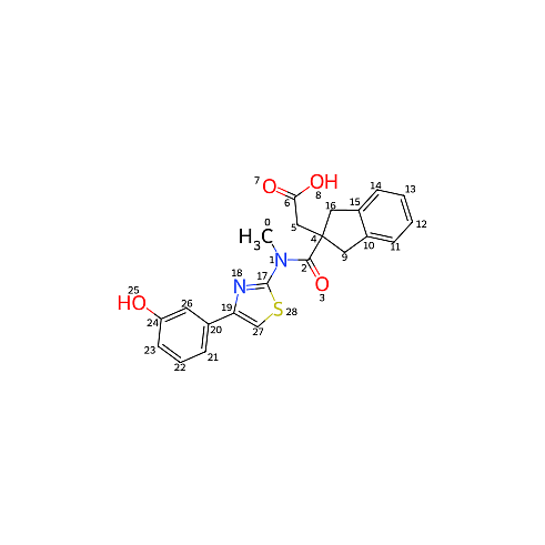 CN(C(=O)C1(CC(=O)O)Cc2ccccc2C1)c1nc(-c2cccc(O)c2)cs1